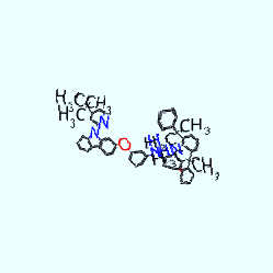 CC(C)(C)c1ccnc(-n2c3ccccc3c3ccc(Oc4cccc(Nc5ccccc5Nc5c(C(C)(C)c6ccccc6)cccc5C(C)(C)c5ccccc5)c4)cc32)c1